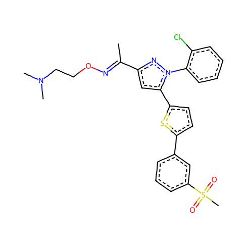 CC(=NOCCN(C)C)c1cc(-c2ccc(-c3cccc(S(C)(=O)=O)c3)s2)n(-c2ccccc2Cl)n1